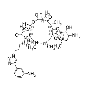 CC[C@H]1OC(=O)[C@@](C)(F)C(=O)[C@H](C)[C@@H](O[C@@H]2OC(C)CC(N)C2O)[C@](C)(OC)C[C@@H](C)CN(C)[C@H](C)[C@H]2N(CCCCn3cc(-c4cccc(N)c4)nn3)C(=O)O[C@]12C